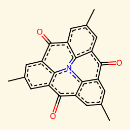 Cc1cc2c(=O)c3cc(C)cc4c(=O)c5cc(C)cc6c(=O)c(c1)c2n(c34)c65